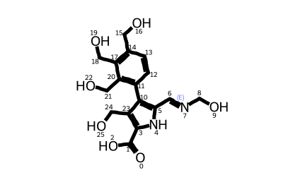 O=C(O)c1[nH]c(/C=N/CO)c(-c2ccc(CO)c(CO)c2CO)c1CO